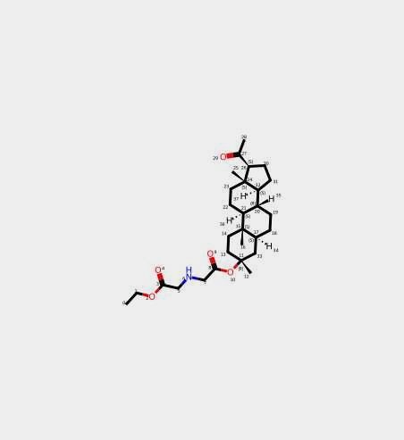 CCOC(=O)CNCC(=O)O[C@]1(C)CC[C@@]2(C)[C@@H](CC[C@@H]3[C@@H]2CC[C@]2(C)[C@@H](C(C)=O)CC[C@@H]32)C1